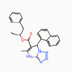 CC1=C(C(=O)OC(C)Cc2ccccc2)C(c2cccc3ccccc23)n2nnnc2N1